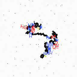 Cc1ncsc1-c1ccc([C@H](C)NC(=O)[C@@H]2C[C@@H](O)CN2C(=O)[C@@H](NC(=O)CCCCCCCCCCN(C)CCOC23CC4(C)CC(C)(CC(Cn5ncc(-c6ccc(N7CCCc8c7nnc(Nc7nc9ccccc9s7)c8C)nc6C(=O)O)c5C)(C4)C2)C3)C(C)(C)C)cc1